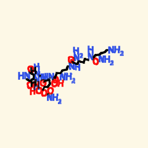 NCCCC(N)CC(=O)NCCCC(N)CC(=O)NCCCC(N)CC(=O)N[C@@H]1[C@H](O)[C@@H](OC(N)=O)[C@@H](CO)O[C@H]1/N=C1\N[C@@H]2[C@H](O)CNC(=O)[C@H]2N1